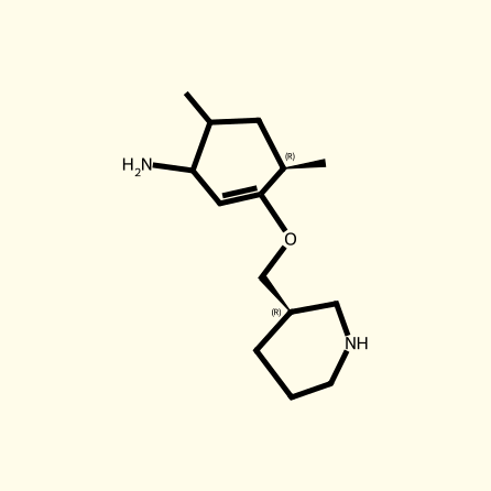 CC1C[C@@H](C)C(OC[C@@H]2CCCNC2)=CC1N